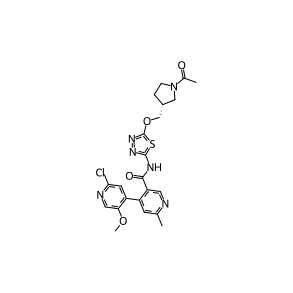 COc1cnc(Cl)cc1-c1cc(C)ncc1C(=O)Nc1nnc(OC[C@@H]2CCN(C(C)=O)C2)s1